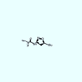 CC(C)(C)NC(=O)Nc1cc(C(C)(C)C)on1